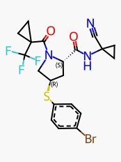 N#CC1(NC(=O)[C@@H]2C[C@@H](Sc3ccc(Br)cc3)CN2C(=O)C2(C(F)(F)F)CC2)CC1